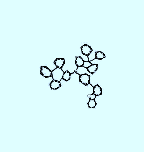 c1ccc(C2(c3ccccc3)c3ccccc3-c3c(N(c4ccc(-c5cccc6c5oc5ccccc56)cc4)c4ccc5c(c4)-c4ccccc4-c4ccccc4-c4ccccc4-5)cccc32)cc1